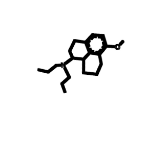 CCCN(CCC)C1CCc2ccc(OC)c3c2C1CCC3